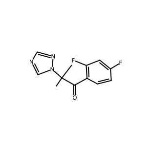 CC(C)(C(=O)c1ccc(F)cc1F)n1cncn1